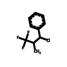 CC(C(Cl)c1ccccc1)C(F)(F)F